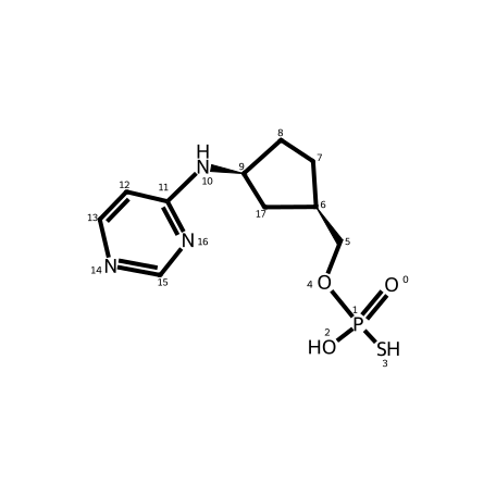 O=P(O)(S)OC[C@@H]1CC[C@H](Nc2ccncn2)C1